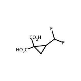 O=C(O)C1(C(=O)O)CC1C(F)F